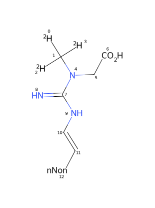 [2H]C([2H])([2H])N(CC(=O)O)C(=N)NC=CCCCCCCCCC